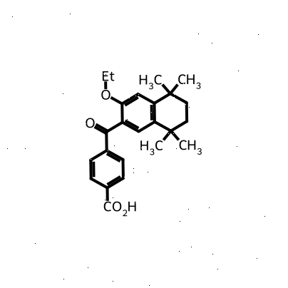 CCOc1cc2c(cc1C(=O)c1ccc(C(=O)O)cc1)C(C)(C)CCC2(C)C